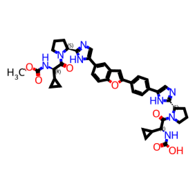 COC(=O)N[C@@H](C(=O)N1CCC[C@H]1c1ncc(-c2ccc3oc(-c4ccc(-c5cnc([C@@H]6CCCN6C(=O)[C@H](NC(=O)O)C6CC6)[nH]5)cc4)cc3c2)[nH]1)C1CC1